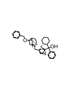 OC(c1ccccc1)(c1ncc(C[N+]23CCC(CC2)C(OCc2ccccc2)C3)s1)C1CCCCC1